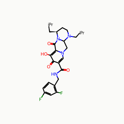 CC(C)C[C@H]1CCN(CC(C)C)C2Cn3cc(C(=O)NCc4ccc(F)cc4F)c(=O)c(O)c3C(=O)N21